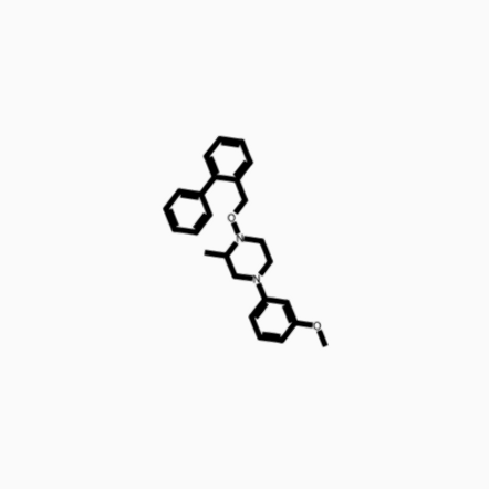 COc1cccc(N2CCN(OCc3ccccc3-c3ccccc3)C(C)C2)c1